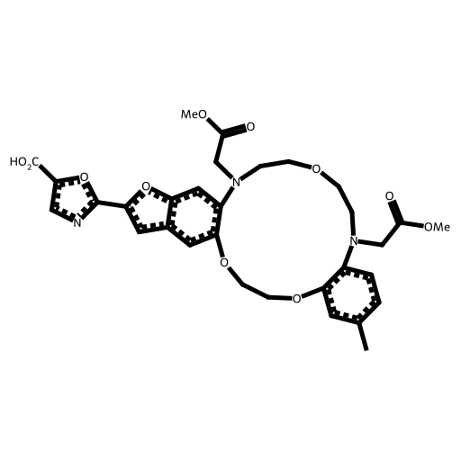 COC(=O)CN1CCOCCN(CC(=O)OC)c2cc3oc(-c4ncc(C(=O)O)o4)cc3cc2OCCOc2cc(C)ccc21